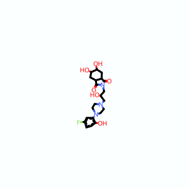 O=C1C2CC(O)C(O)CC2C(=O)N1CC(O)CN1CCN(c2cc(F)ccc2O)CC1